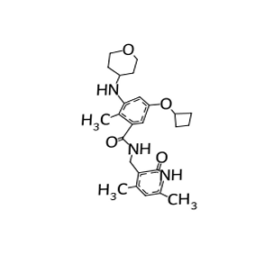 Cc1cc(C)c(CNC(=O)c2cc(OC3CCC3)cc(NC3CCOCC3)c2C)c(=O)[nH]1